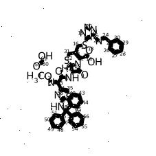 CO/N=C(\C(=O)N[C@@H]1C(=O)N2C(C(=O)O)=C(CSc3nnnn3N=Cc3ccccc3)CS[C@@H]12)c1csc(NC(c2ccccc2)(c2ccccc2)c2ccccc2)n1.O=CO